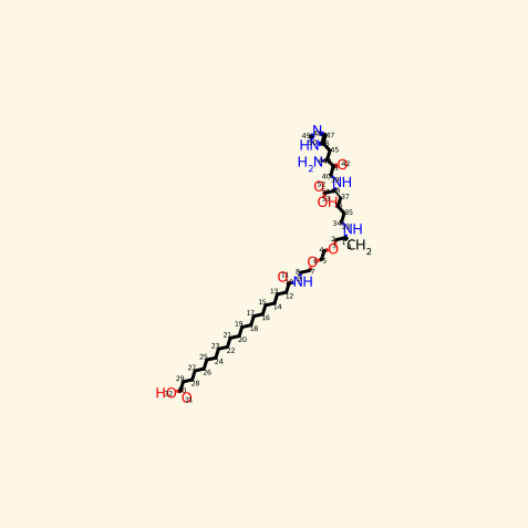 C=C(COCCOCCNC(=O)CCCCCCCCCCCCCCCCCCC(=O)O)NCCCC[C@H](NCC(=O)[C@@H](N)Cc1cnc[nH]1)C(=O)O